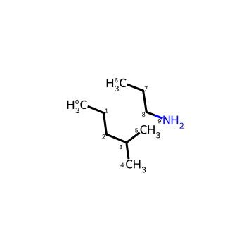 CCCC(C)C.CCCN